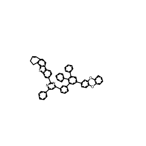 C1=Cc2ccc3c(sc4cc(-c5nc(-c6ccccc6)cc(-c6cccc(-c7cc(-c8ccc9c(c8)Oc8ccccc8O9)cc(-c8ccccc8)c7-c7ccccc7)c6)n5)ccc43)c2CC1